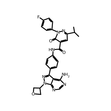 CC(C)c1cc(C(=O)Nc2ccc(-c3nn(C4COC4)c4ncnc(N)c34)cc2)c(=O)n(-c2ccc(F)cc2)n1